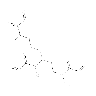 C=NC(=S)N(C)CCCC(CCN(C)C(=S)N=C)N(C)C(=S)N=C